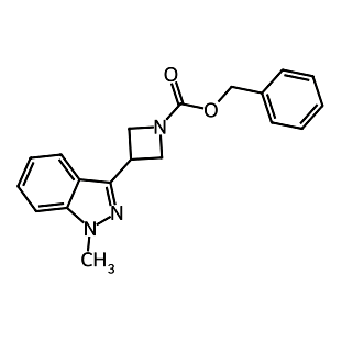 Cn1nc(C2CN(C(=O)OCc3ccccc3)C2)c2ccccc21